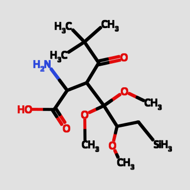 COC(C[SiH3])C(OC)(OC)C(C(=O)C(C)(C)C)C(N)C(=O)O